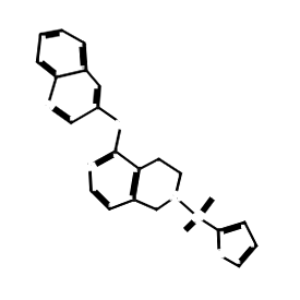 O=S(=O)(c1cccs1)N1CCc2c(ccnc2Nc2cnc3ccccc3c2)C1